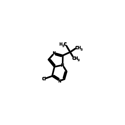 CC(C)(C)c1ncc2c(Cl)nccn12